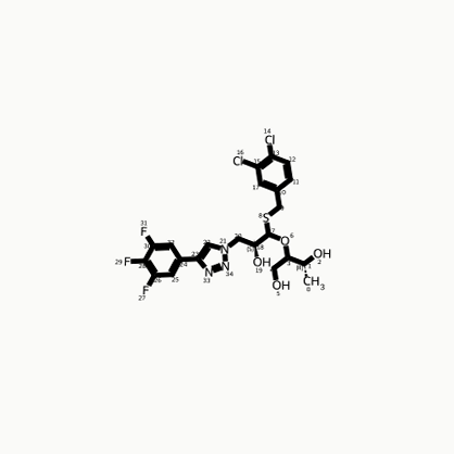 C[C@@H](O)C(CO)OC(SCc1ccc(Cl)c(Cl)c1)[C@@H](O)Cn1cc(-c2cc(F)c(F)c(F)c2)nn1